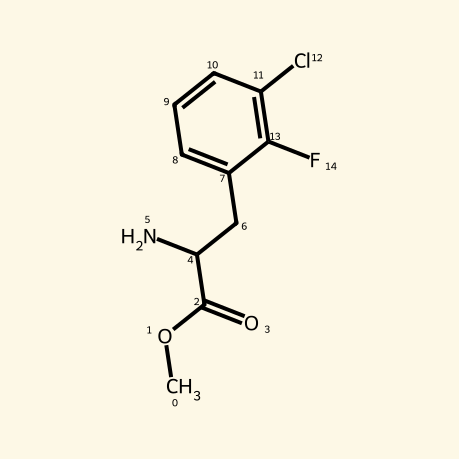 COC(=O)C(N)Cc1cccc(Cl)c1F